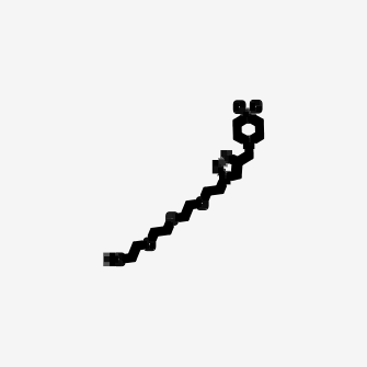 O=S1(=O)CCN(Cc2cn(CCOCCOCCOCCO)nn2)CC1